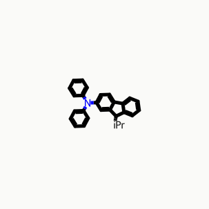 CC(C)C1c2ccccc2-c2ccc(N(c3ccccc3)c3ccccc3)cc21